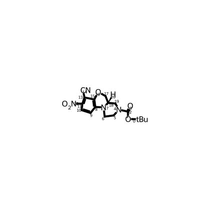 CC(C)(C)OC(=O)N1CCN2c3ccc([N+](=O)[O-])c(C#N)c3OC[C@@H]2C1